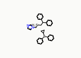 c1ccc(B(c2ccccc2)C2CC2)cc1.c1ccc(C(C[SiH2]Cn2ccnc2)c2ccccc2)cc1